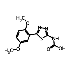 COc1ccc(OC)c(-c2nnc(NC(=O)O)s2)c1